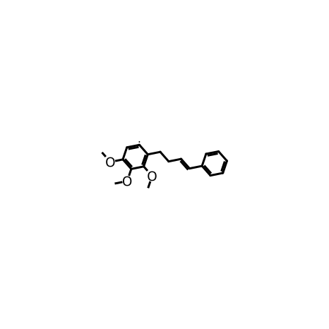 COc1c[c]c(CCC=Cc2ccccc2)c(OC)c1OC